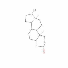 CC[C@H]1CCC2C3CCC4=CC(=O)C=C[C@]4(C)C3CC[C@@]21C